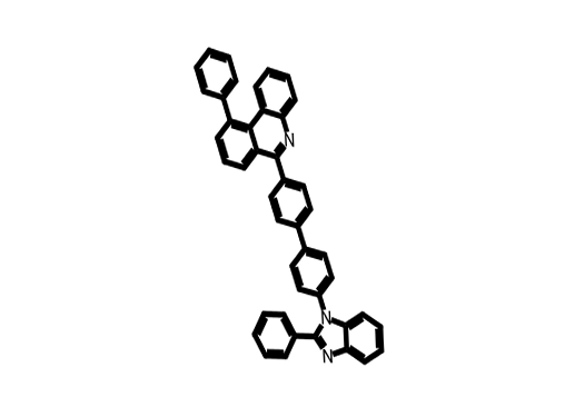 c1ccc(-c2cccc3c(-c4ccc(-c5ccc(-n6c(-c7ccccc7)nc7ccccc76)cc5)cc4)nc4ccccc4c23)cc1